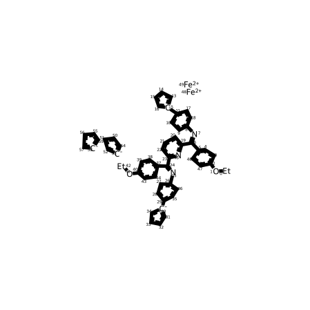 CCOc1ccc(C(=Nc2ccc(-[c-]3cccc3)cc2)c2cccc(C(=Nc3ccc(-[c-]4cccc4)cc3)c3ccc(OCC)cc3)n2)cc1.[Fe+2].[Fe+2].c1cc[cH-]c1.c1cc[cH-]c1